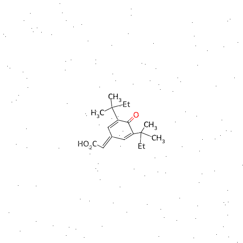 CCC(C)(C)C1=CC(=CC(=O)O)C=C(C(C)(C)CC)C1=O